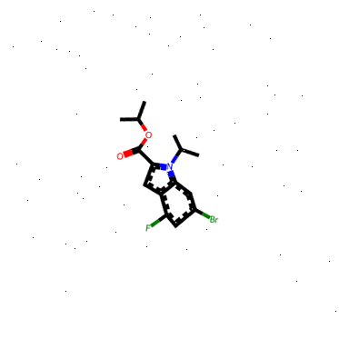 CC(C)OC(=O)c1cc2c(F)cc(Br)cc2n1C(C)C